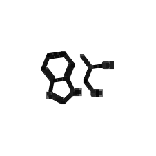 CC(O)CO.c1ccc2[nH]cnc2c1